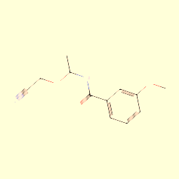 COc1cccc(C(=O)NC(C)OCC#N)c1